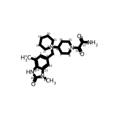 Cc1cc(C[N+]2(C3CCN(C(=O)C(N)=O)CC3)CCCCC2)cc2c1[nH]c(=O)n2C